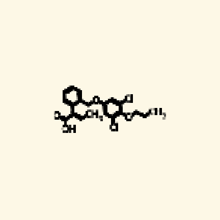 C/C=C(/C(=O)O)c1ccccc1COc1cc(Cl)c(OCCC)c(Cl)c1